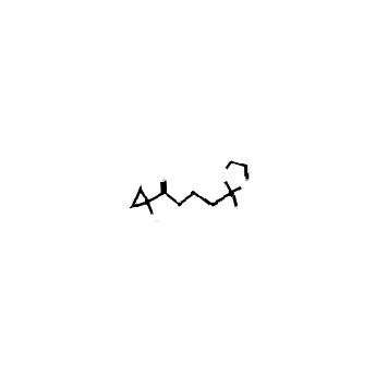 CC1(CCCC(=O)C2(Br)CC2)OCCO1